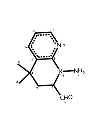 CC1(C)CC(C=O)N(N)c2ncccc21